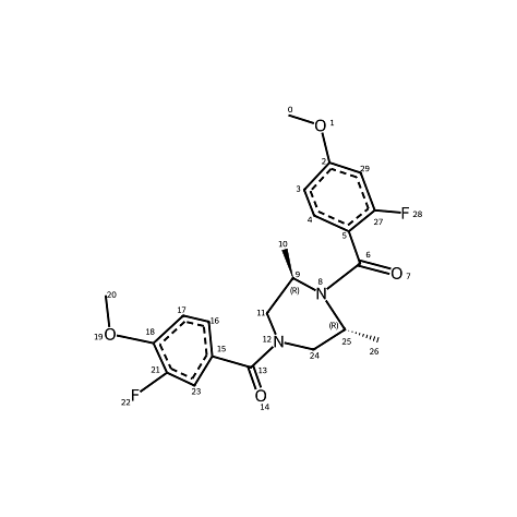 COc1ccc(C(=O)N2[C@H](C)CN(C(=O)c3ccc(OC)c(F)c3)C[C@H]2C)c(F)c1